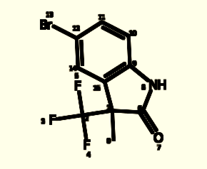 CC1(C(F)(F)F)C(=O)Nc2ccc(Br)cc21